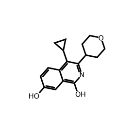 Oc1ccc2c(C3CC3)c(C3CCOCC3)nc(O)c2c1